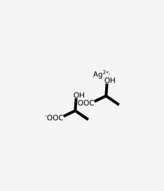 CC(O)C(=O)[O-].CC(O)C(=O)[O-].[Ag+2]